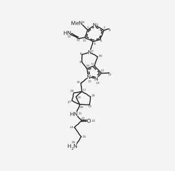 CNc1nc(C)cc(N2CCc3c(c(C)nn3CC34CCC(NC(=O)CCN)(CC3)C4)C2)c1C=N